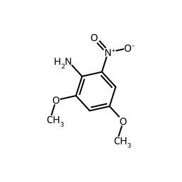 COc1cc(OC)c(N)c([N+](=O)[O-])c1